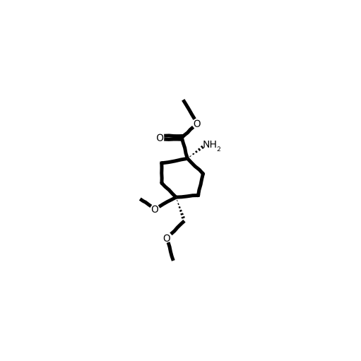 COC[C@]1(OC)CC[C@@](N)(C(=O)OC)CC1